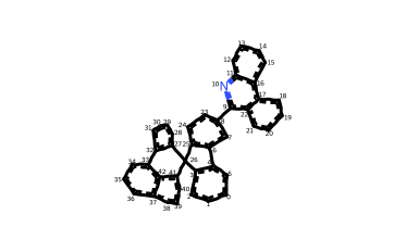 c1ccc2c(c1)-c1cc(-c3nc4ccccc4c4ccccc34)ccc1C21c2ccccc2-c2cccc3cccc1c23